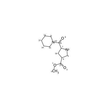 COC(=O)C1C[N]C(C(=O)N2CCCCC2)C1